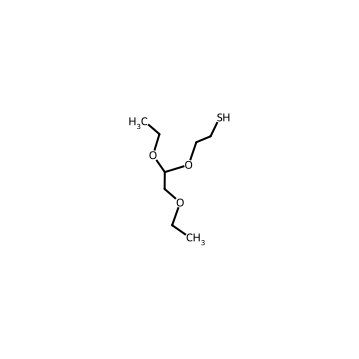 CCOCC(OCC)OCCS